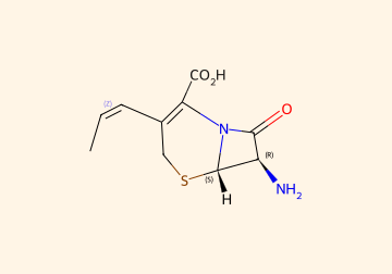 C/C=C\C1=C(C(=O)O)N2C(=O)[C@@H](N)[C@@H]2SC1